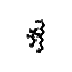 CCCCCCCCCCCCCCCCO.O=S(=O)([O-])CCO.[Na+]